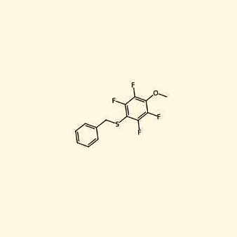 COc1c(F)c(F)c(SCc2ccccc2)c(F)c1F